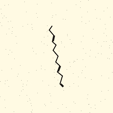 C=CCC=CCCCCC=CCC